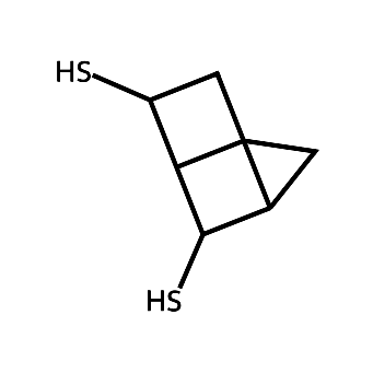 SC1CC23CC2C(S)C13